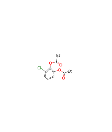 CCC(=O)Oc1cccc(Cl)c1OC(=O)CC